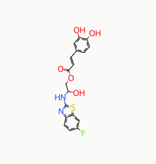 O=C(/C=C/c1ccc(O)c(O)c1)OCC(O)Nc1nc2ccc(F)cc2s1